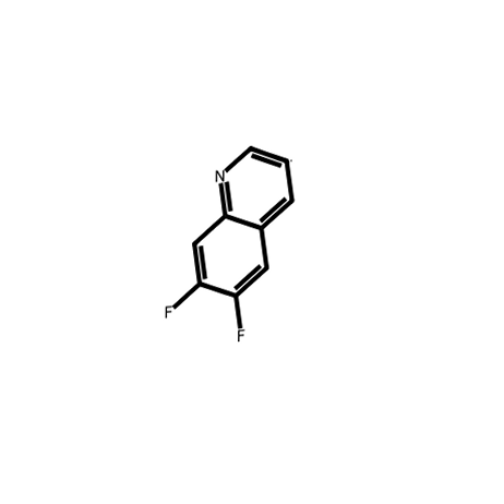 Fc1cc2c[c]cnc2cc1F